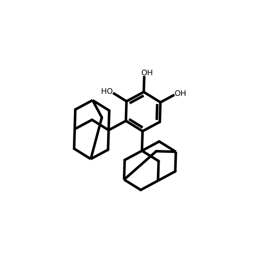 Oc1cc(C23CC4CC(CC(C4)C2)C3)c(C23CC4CC(CC(C4)C2)C3)c(O)c1O